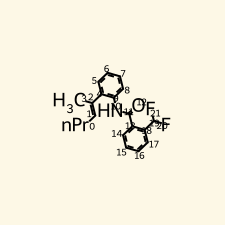 CCCC=C(C)c1ccccc1NC(=O)c1ccccc1C(F)F